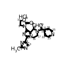 Cc1nsc(-c2nc(N3CCOC3=O)c3n2CCN(C(=O)c2ccncc2)C3C)n1.Cl